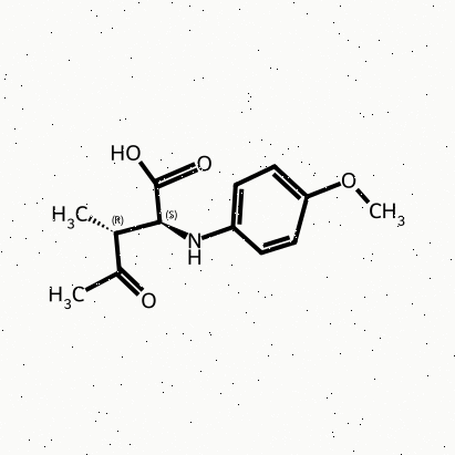 COc1ccc(N[C@H](C(=O)O)[C@@H](C)C(C)=O)cc1